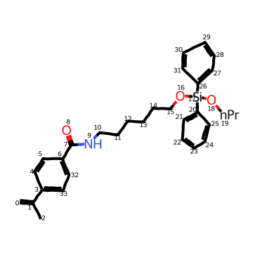 C=C(C)c1ccc(C(=O)NCCCCCCO[Si](OCCC)(c2ccccc2)c2ccccc2)cc1